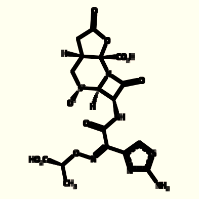 C[C@H](O/N=C(\C(=O)N[C@@H]1C(=O)N2[C@@H]1[S@@+]([O-])C[C@@H]1CC(=O)O[C@@]12C(=O)O)c1csc(N)n1)C(=O)O